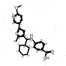 COc1ccc(-c2cc(C(Nc3ccc(C(=O)O)cc3)C3CCCCC3)c(C)o2)cn1